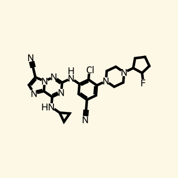 N#Cc1cc(Nc2nc(NC3CC3)c3ncc(C#N)n3n2)c(Cl)c(N2CCN(C3CCCC3F)CC2)c1